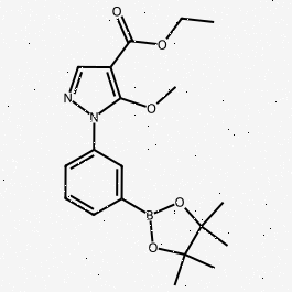 CCOC(=O)c1cnn(-c2cccc(B3OC(C)(C)C(C)(C)O3)c2)c1OC